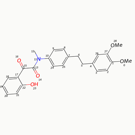 COc1ccc(CCc2ccc(N(C)C(=O)C(=O)c3ccccc3O)cc2)cc1OC